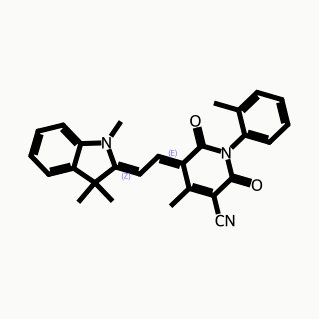 CC1=C(C#N)C(=O)N(c2ccccc2C)C(=O)/C1=C/C=C1\N(C)c2ccccc2C1(C)C